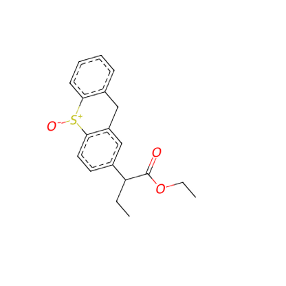 CCOC(=O)C(CC)c1ccc2c(c1)Cc1ccccc1[S+]2[O-]